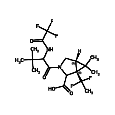 CC(C)(C)C(NC(=O)C(F)(F)F)C(=O)N1C[C@@H]2C(C)(C)[C@]2(C(C)(F)F)C1C(=O)O